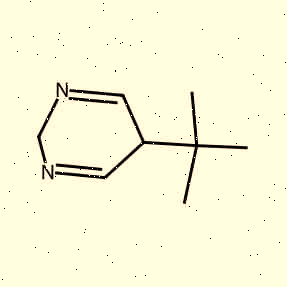 CC(C)(C)C1C=NCN=C1